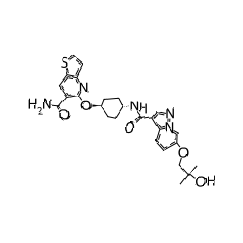 CC(C)(O)COc1ccc2c(C(=O)N[C@H]3CC[C@H](Oc4nc5ccsc5cc4C(N)=O)CC3)cnn2c1